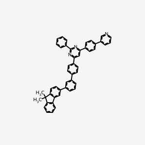 CC1(C)c2ccccc2-c2cc(-c3cccc(-c4ccc(-c5cc(-c6ccc(-c7cccnc7)cc6)nc(-c6ccccc6)n5)cc4)c3)ccc21